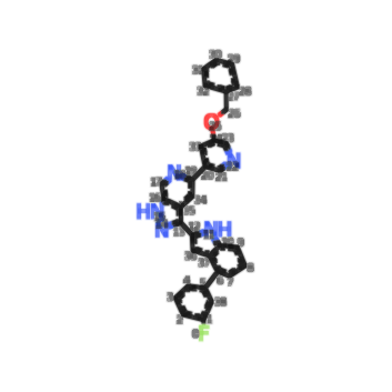 Fc1cccc(-c2cccc3[nH]c(-c4n[nH]c5cnc(-c6cncc(OCc7ccccc7)c6)cc45)cc23)c1